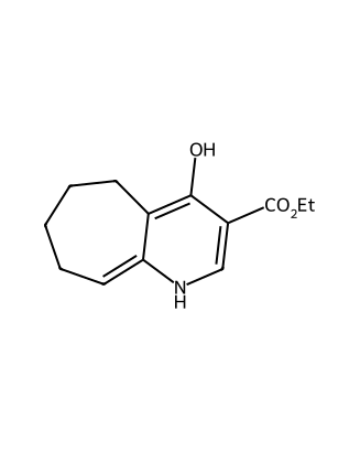 CCOC(=O)C1=CNC2=CCCCCC2=C1O